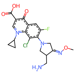 CO/N=C1\CN(c2c(F)cc3c(=O)c(C(=O)O)cn(C4CC4)c3c2Cl)CC1CN